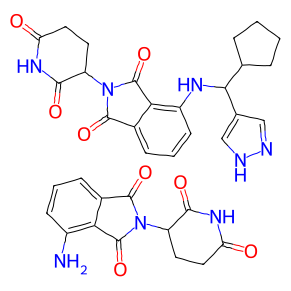 Nc1cccc2c1C(=O)N(C1CCC(=O)NC1=O)C2=O.O=C1CCC(N2C(=O)c3cccc(NC(c4cn[nH]c4)C4CCCC4)c3C2=O)C(=O)N1